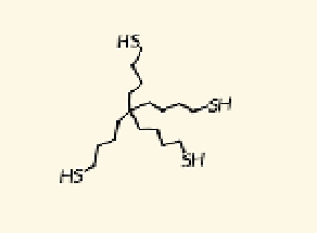 SCCCCC(CCCCS)(CCCCS)CCCCS